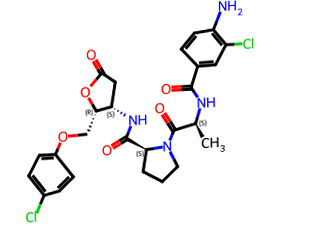 C[C@H](NC(=O)c1ccc(N)c(Cl)c1)C(=O)N1CCC[C@H]1C(=O)N[C@H]1CC(=O)O[C@H]1COc1ccc(Cl)cc1